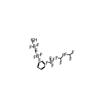 FC(F)F.FC(F)F.F[B-](F)(F)F.F[B-](F)(F)F.F[B-](F)(F)F.[KH].c1ccccc1